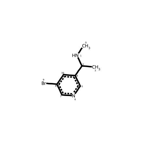 CNC(C)c1cncc(Br)c1